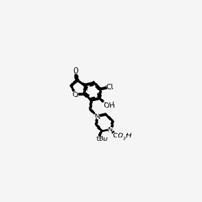 CC(C)(C)C1CN(Cc2c(O)c(Cl)cc3c2OCC3=O)CCN1C(=O)O